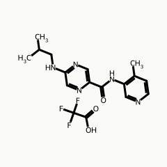 Cc1ccncc1NC(=O)c1cnc(NCC(C)C)cn1.O=C(O)C(F)(F)F